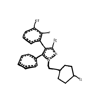 CCc1cccc(-c2c(CC)nn(CC3CCC(CC)CC3)c2-c2ccccc2)c1F